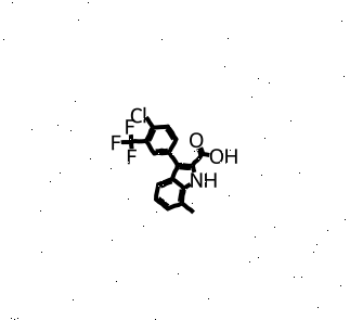 Cc1cccc2c(-c3ccc(Cl)c(C(F)(F)F)c3)c(C(=O)O)[nH]c12